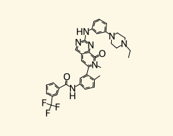 CCN1CCN(c2cccc(Nc3ncc4cc(-c5cc(NC(=O)c6cccc(C(F)(F)F)c6)ccc5C)n(C)c(=O)c4n3)c2)CC1